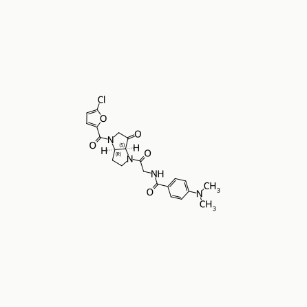 CN(C)c1ccc(C(=O)NCC(=O)N2CC[C@@H]3[C@H]2C(=O)CN3C(=O)c2ccc(Cl)o2)cc1